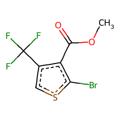 COC(=O)c1c(C(F)(F)F)csc1Br